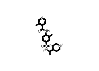 Cc1cc(S(=O)(=O)NC(C)C2CCNCC2)ccc1NC(=O)c1ccncc1C